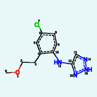 COCCc1cc(Cl)ccc1Nc1cn[nH]n1